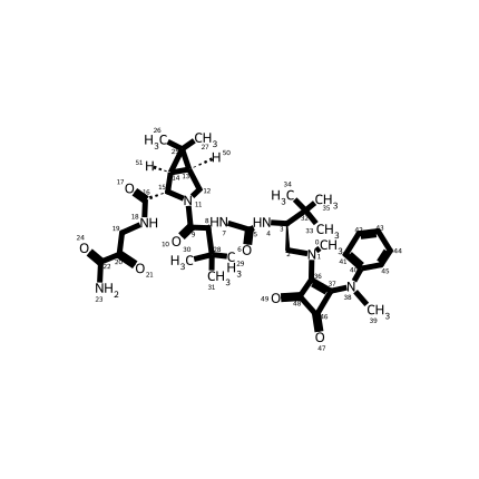 CN(C[C@@H](NC(=O)N[C@H](C(=O)N1C[C@H]2[C@@H]([C@H]1C(=O)NCC(=O)C(N)=O)C2(C)C)C(C)(C)C)C(C)(C)C)c1c(N(C)c2ccccc2)c(=O)c1=O